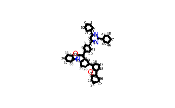 c1ccc(-c2cc(-c3ccc(-c4c5cc(-c6cccc7c6oc6ccccc67)ccc5n5c4oc4ccccc45)cc3)nc(-c3ccccc3)n2)cc1